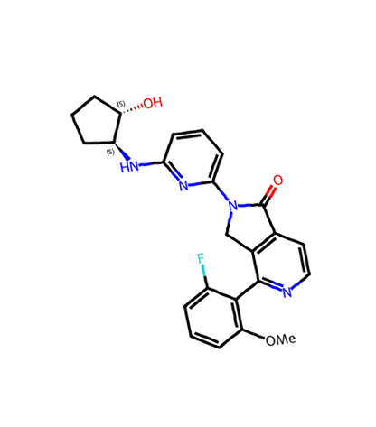 COc1cccc(F)c1-c1nccc2c1CN(c1cccc(N[C@H]3CCC[C@@H]3O)n1)C2=O